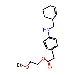 CCOCCOC(=O)Cc1ccc(NCC2C=CCCC2)cc1